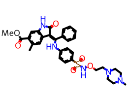 COC(=O)c1cc2c(cc1C)C(=C(Nc1ccc(S(=O)(=O)NOCCN3CCN(C)CC3)cc1)c1ccccc1)C(=O)N2